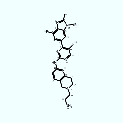 Cc1nc2c(F)cc(-c3nc(Nc4ccc5c(n4)CCN(CCN)C5)ncc3F)cc2n1C(C)(C)C